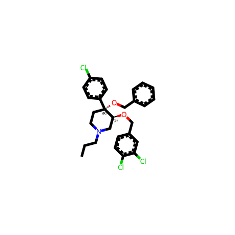 CCCN1CC[C@@](OCc2ccccc2)(c2ccc(Cl)cc2)[C@@H](OCc2ccc(Cl)c(Cl)c2)C1